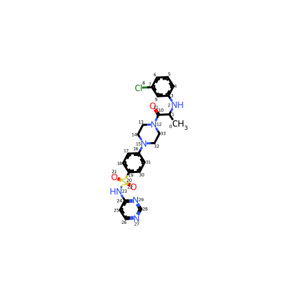 CC(Nc1cccc(Cl)c1)C(=O)N1CCN(c2ccc(S(=O)(=O)Nc3ccncn3)cc2)CC1